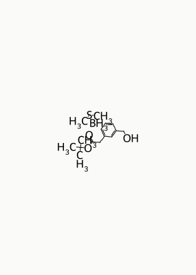 B.CC(C)(C)OC(=O)Cc1cccc(CO)c1.CSC